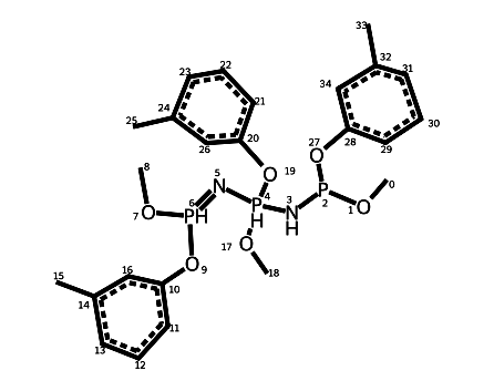 COP(N[PH](/N=[PH](/OC)Oc1cccc(C)c1)(OC)Oc1cccc(C)c1)Oc1cccc(C)c1